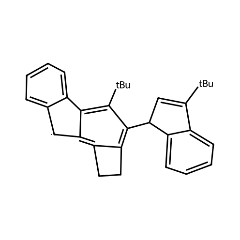 CC(C)(C)C1=CC(c2c3c(c4c(c2C(C)(C)C)-c2ccccc2[CH]4)CC3)c2ccccc21